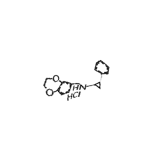 Cl.c1ccc([C@@H]2C[C@H]2NCc2ccc3c(c2)OCCO3)cc1